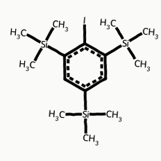 C[Si](C)(C)c1cc([Si](C)(C)C)c(I)c([Si](C)(C)C)c1